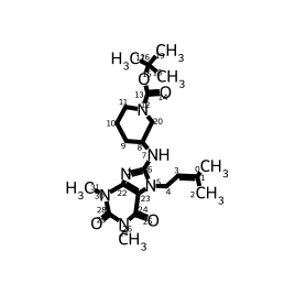 CC(C)=CCn1c(NC2CCCN(C(=O)OC(C)(C)C)C2)nc2c1c(=O)n(C)c(=O)n2C